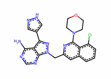 Nc1ncnc2c1c(-c1cn[nH]c1)nn2Cc1cc2cccc(Cl)c2c(N2CCOCC2)n1